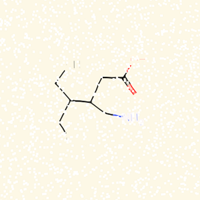 CCC(CC)C(CN)CC(=O)O